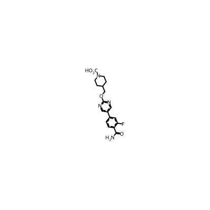 NC(=O)c1ccc(-c2cnc(OCC3CCN(C(=O)O)CC3)nc2)cc1F